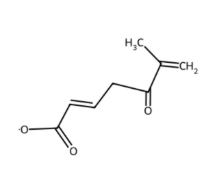 C=C(C)C(=O)CC=CC([O])=O